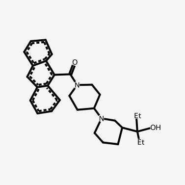 CCC(O)(CC)C1CCCN(C2CCN(C(=O)c3c4ccccc4cc4ccccc34)CC2)C1